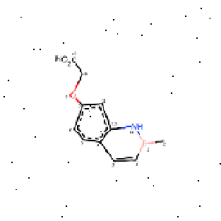 CB1C=Cc2ccc(OCC(=O)O)cc2N1